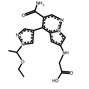 CCOC(C)n1cc(-c2c(C(N)=O)cnn3cc(NCC(=O)O)cc23)cn1